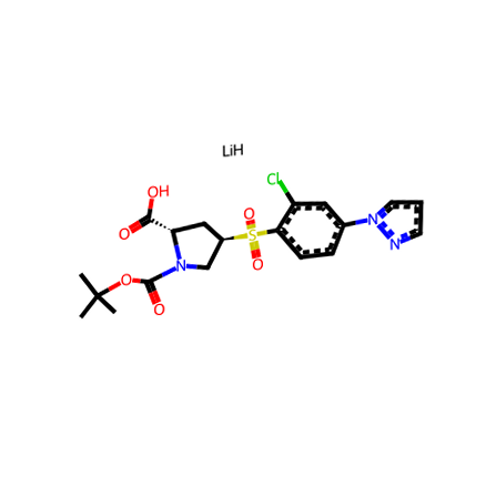 CC(C)(C)OC(=O)N1C[C@H](S(=O)(=O)c2ccc(-n3cccn3)cc2Cl)C[C@H]1C(=O)O.[LiH]